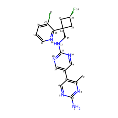 Cc1nc(N)ncc1-c1cnc(NC[C@]2(c3ncccc3F)C[C@H](F)C2)nc1